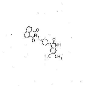 Cc1cc2[nH]c(=O)n(C3CCN(CCN4C(=O)c5cccc6cccc(c56)C4=O)CC3)c2cc1C